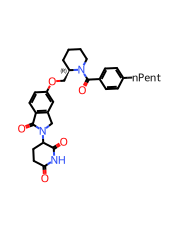 CCCCCc1ccc(C(=O)N2CCCC[C@@H]2COc2ccc3c(c2)CN(C2CCC(=O)NC2=O)C3=O)cc1